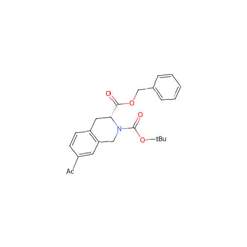 CC(=O)c1ccc2c(c1)CN(C(=O)OC(C)(C)C)[C@@H](C(=O)OCc1ccccc1)C2